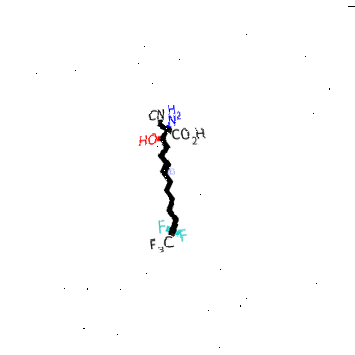 N#CCC(N)(C(=O)O)C(O)CC/C=C/CCCCCC(F)(F)C(F)(F)F